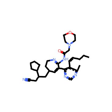 CCC/C=C\c1c(C)ncnc1C1=CC(CC(CC#N)C2CCCC2)CCN=C1NC(=O)CN1CCOCC1